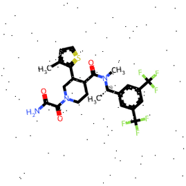 Cc1ccsc1C1CN(C(=O)C(N)=O)CCC1C(=O)N(C)[C@@H](C)c1cc(C(F)(F)F)cc(C(F)(F)F)c1